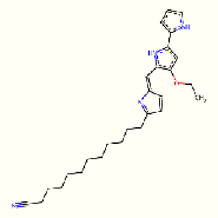 CCOc1cc(-c2ccc[nH]2)[nH]c1/C=C1\C=CC(CCCCCCCCCCCC#N)=N1